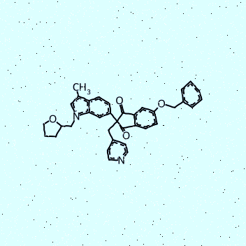 Cc1cn(CC2CCCO2)c2cc(C3(Cc4ccncc4)C(=O)c4ccc(OCc5ccccc5)cc4C3=O)ccc12